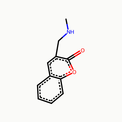 CNCc1cc2ccccc2oc1=O